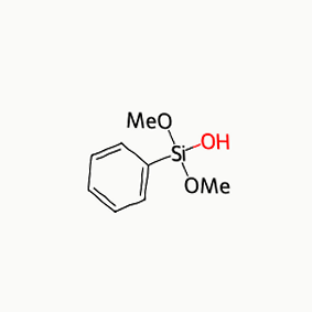 CO[Si](O)(OC)c1ccccc1